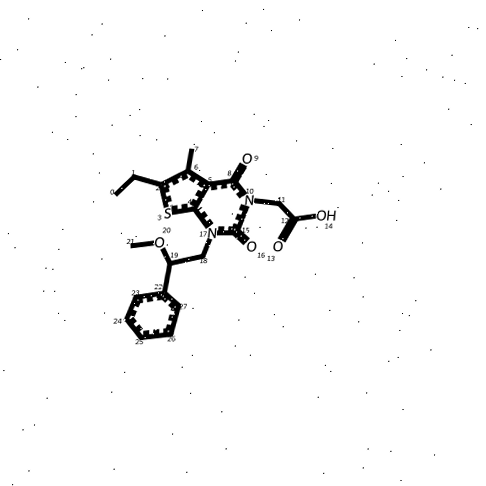 CCc1sc2c(c1C)c(=O)n(CC(=O)O)c(=O)n2CC(OC)c1ccccc1